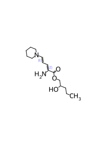 CCCC(O)COC(=O)/C(N)=C/C=C/N1CCCCC1